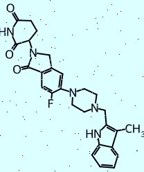 Cc1c(CN2CCN(c3cc4c(cc3F)C(=O)N(C3CCC(=O)NC3=O)C4)CC2)[nH]c2ccccc12